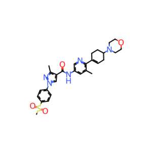 Cc1cc(NC(=O)c2cn(-c3ccc(S(C)(=O)=O)cc3)nc2C)cnc1C1=CCC(N2CCOCC2)CC1